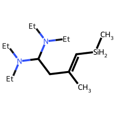 CCN(CC)C(CC(C)=C[SiH2]C)N(CC)CC